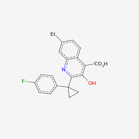 CCc1ccc2c(C(=O)O)c(O)c(C3(c4ccc(F)cc4)CC3)nc2c1